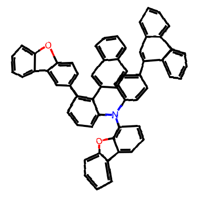 c1cc(-c2ccc3oc4ccccc4c3c2)c(-c2ccc3ccccc3c2)c(N(c2ccc(-c3cc4ccccc4c4ccccc34)cc2)c2cccc3c2oc2ccccc23)c1